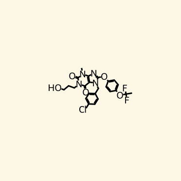 Cn1c(=O)n(CCCO)c(=O)c2c1nc(Oc1ccc(OC(C)(F)F)cc1)n2Cc1ccc(Cl)cc1